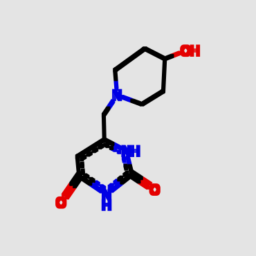 O=c1cc(CN2CCC(O)CC2)[nH]c(=O)[nH]1